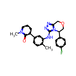 Cc1ccc(-c2cccn(C)c2=O)cc1Nc1nnc2n1C(c1ccc(F)cc1)COC2